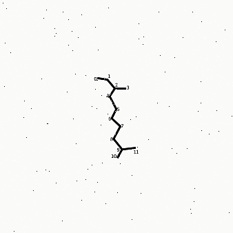 [CH2]CC(C)CCCCCC(C)C